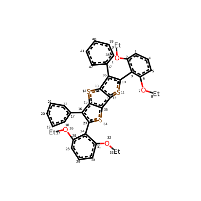 CCOc1cccc(OCC)c1-c1sc2c(sc3c(-c4ccccc4)c(-c4c(OCC)cccc4OCC)sc32)c1-c1ccccc1